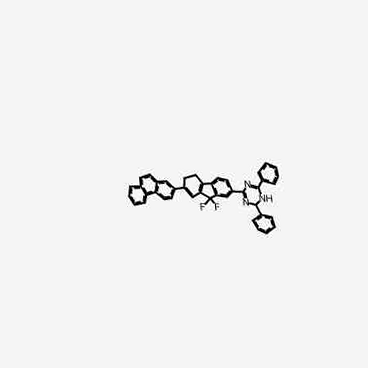 FC1(F)C2=C(CCC(c3ccc4c(ccc5ccccc54)c3)=C2)c2ccc(C3=NC(c4ccccc4)NC(c4ccccc4)=N3)cc21